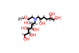 CC(C)OCCN(C[C@@H](O)CC[C@@H](O)CO)C[C@@H](O)[C@H](O)[C@@H](O)[C@@H](O)CO